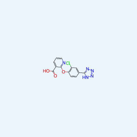 O=C(O)c1cccnc1Oc1ccc(-c2nnn[nH]2)cc1Cl